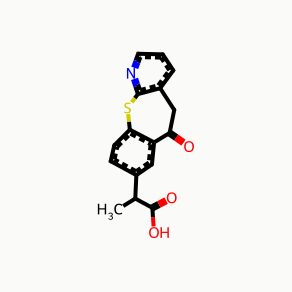 CC(C(=O)O)c1ccc2c(c1)C(=O)Cc1cccnc1S2